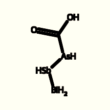 O=C(O)[AsH][SbH][BiH2]